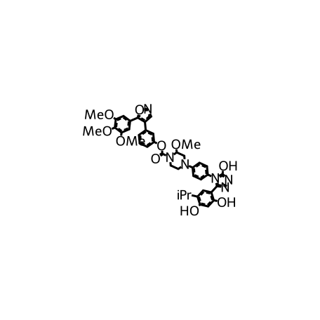 COc1cc(-c2oncc2-c2cccc(OC(=O)N3CCN(c4ccc(-n5c(O)nnc5-c5cc(C(C)C)c(O)cc5O)cc4)CC3OC)c2)cc(OC)c1OC